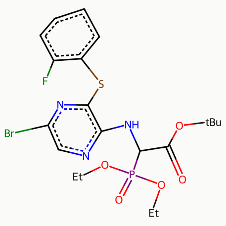 CCOP(=O)(OCC)C(Nc1ncc(Br)nc1Sc1ccccc1F)C(=O)OC(C)(C)C